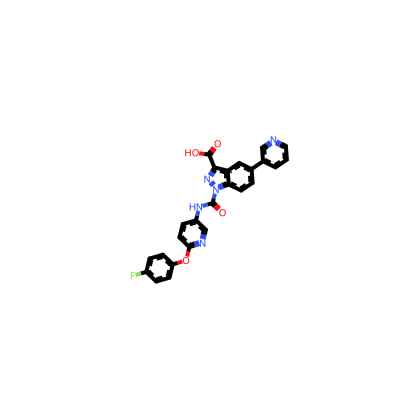 O=C(O)c1nn(C(=O)Nc2ccc(Oc3ccc(F)cc3)nc2)c2ccc(-c3cccnc3)cc12